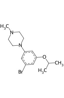 CC(C)Oc1cc(Br)cc(N2CCN(C)CC2)c1